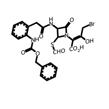 O=CSC1C(NC(=O)Cc2ccccc2NC(=O)OCc2ccccc2)C(=O)N1/C(C(=O)O)=C(/O)CBr